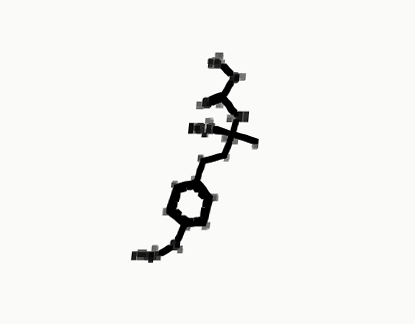 CCCCCCCOc1ccc(CC[C@@](C)(NC(=O)OC(C)(C)C)C(=O)O)cc1